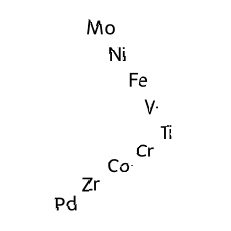 [Co].[Cr].[Fe].[Mo].[Ni].[Pd].[Ti].[V].[Zr]